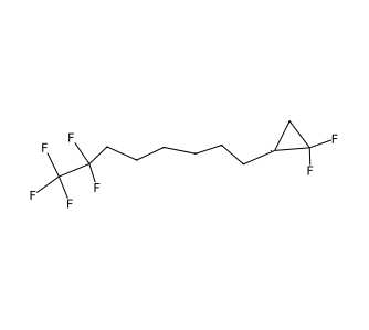 FC1(F)C[C]1CCCCCCC(F)(F)C(F)(F)F